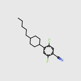 CCCCCC1CCC(c2cc(F)c(C#N)cc2F)CC1